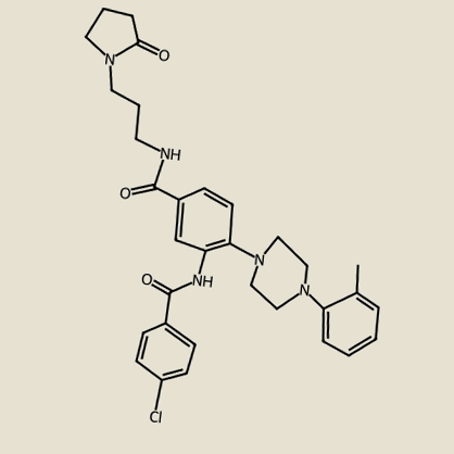 Cc1ccccc1N1CCN(c2ccc(C(=O)NCCCN3CCCC3=O)cc2NC(=O)c2ccc(Cl)cc2)CC1